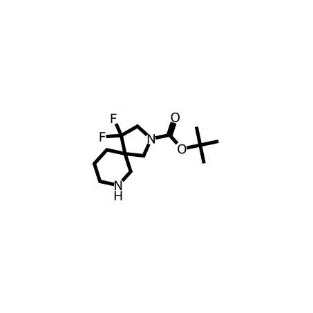 CC(C)(C)OC(=O)N1CC(F)(F)C2(CCCNC2)C1